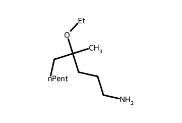 CCCCCCC(C)(CCCN)OCC